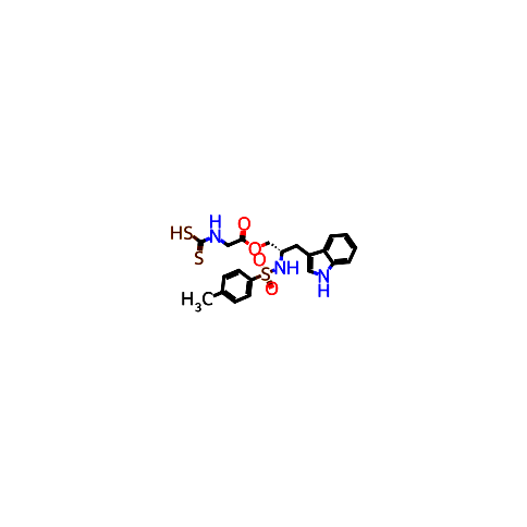 Cc1ccc(S(=O)(=O)N[C@H](COC(=O)CNC(=S)S)Cc2c[nH]c3ccccc23)cc1